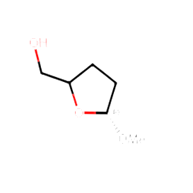 CO[C@H]1CCC(CO)O1